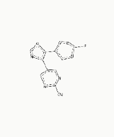 N#Cc1ncc(-c2ncoc2-c2ccc(F)cc2)cn1